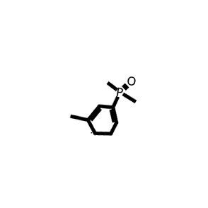 CC1=CC(P(C)(C)=O)=CC[CH]1